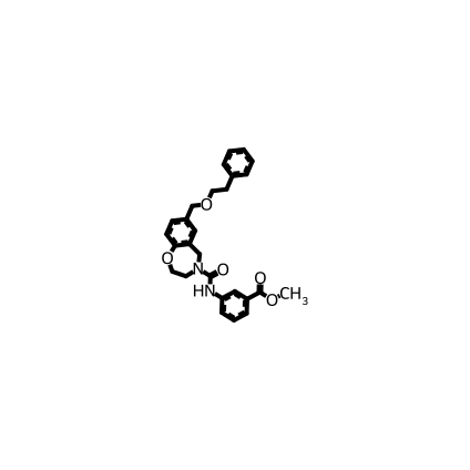 COC(=O)c1cccc(NC(=O)N2CCOc3ccc(COCCc4ccccc4)cc3C2)c1